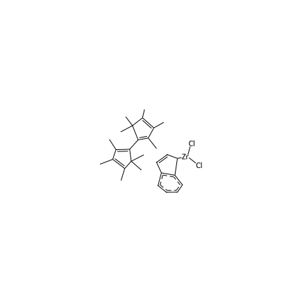 CC1=C(C)C(C)(C)C(C2=C(C)C(C)=C(C)C2(C)C)=C1C.[Cl][Zr]([Cl])[CH]1C=Cc2ccccc21